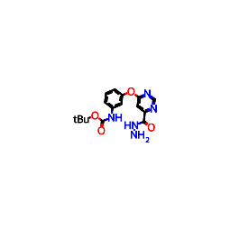 CC(C)(C)OC(=O)Nc1cccc(Oc2cc(C(=O)NN)ncn2)c1